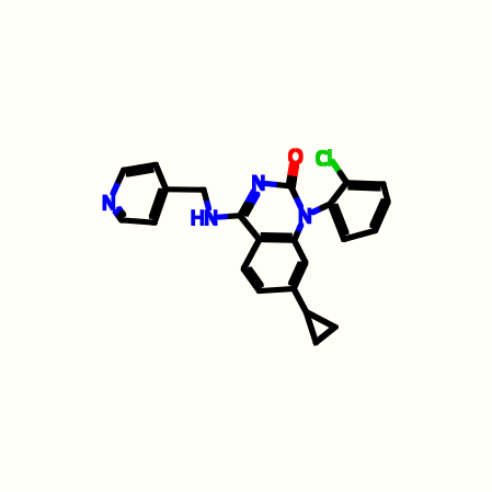 O=c1nc(NCc2ccncc2)c2ccc(C3CC3)cc2n1-c1ccccc1Cl